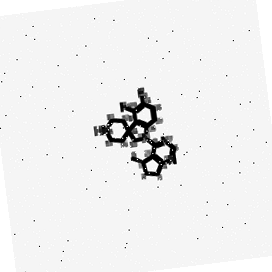 C[C@@H]1CCc2ncnc(N3CC4(CCNCC4)c4c3ccc(F)c4F)c21